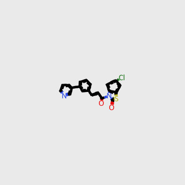 O=C(C=Cc1cccc(-c2cccnc2)c1)n1c(=O)sc2cc(Cl)ccc21